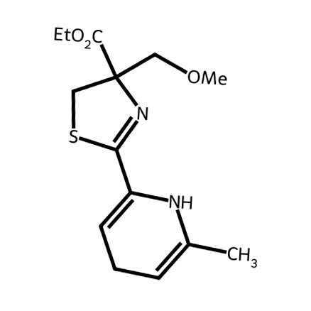 CCOC(=O)C1(COC)CSC(C2=CCC=C(C)N2)=N1